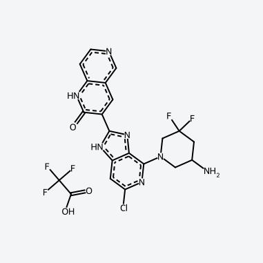 NC1CN(c2nc(Cl)cc3[nH]c(-c4cc5cnccc5[nH]c4=O)nc23)CC(F)(F)C1.O=C(O)C(F)(F)F